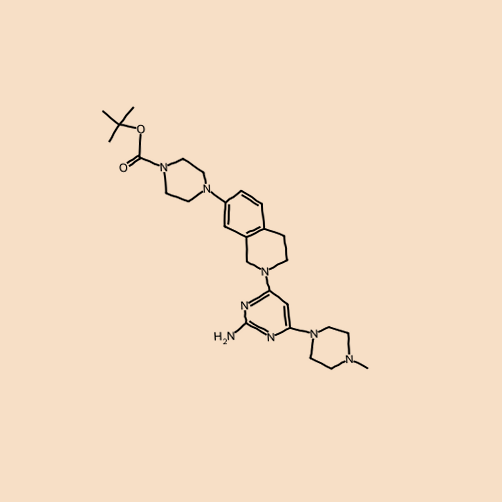 CN1CCN(c2cc(N3CCc4ccc(N5CCN(C(=O)OC(C)(C)C)CC5)cc4C3)nc(N)n2)CC1